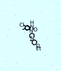 CCOC1CCC(C)(N2CCC(n3c(=O)[nH]c4cc(Cl)c(C)cc43)CC2)CC1